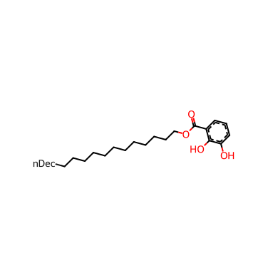 CCCCCCCCCCCCCCCCCCCCCCOC(=O)c1cccc(O)c1O